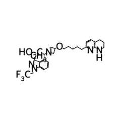 Cc1nn(CC(F)(F)F)c2cccc(C(C(=O)O)N3CC(OCCCCCc4ccc5c(n4)NCCC5)C3)c12